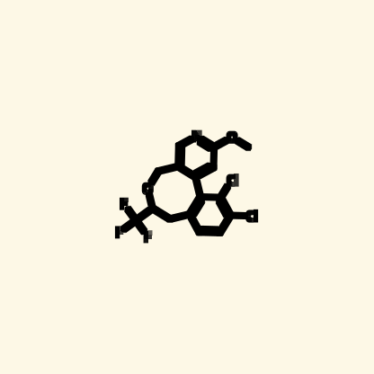 COc1cc2c(cn1)COC(C(F)(F)F)Cc1ccc(Cl)c(Cl)c1-2